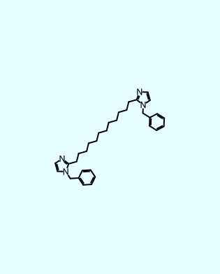 c1ccc(Cn2ccnc2CCCCCCCCCCCCc2nccn2Cc2ccccc2)cc1